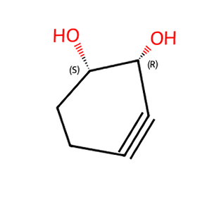 O[C@@H]1C#CCC[C@@H]1O